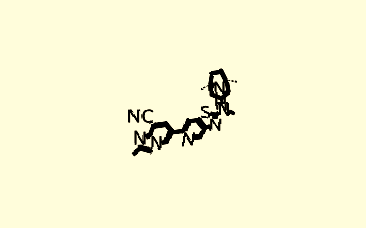 Cc1cn2cc(-c3cc4sc(N(C)[C@@H]5C[C@]6(C)CC[C@](C)(C5)N6)nc4cn3)cc(C#N)c2n1